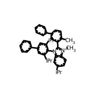 Cc1ccc(-c2ccccc2)cc1-c1n(-c2c(C(C)C)cc(-c3ccccc3)cc2C(C)C)c2cc(C(C)C)ccc2[n+]1C